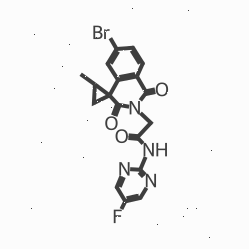 CC1CC12C(=O)N(CC(=O)Nc1ncc(F)cn1)C(=O)c1ccc(Br)cc12